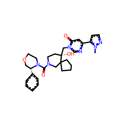 Cn1nccc1-c1cc(=O)n(C[C@]2(O)CCN(C(=O)N3CCOC[C@H]3c3ccccc3)CC23CCCC3)cn1